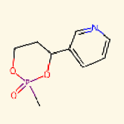 CP1(=O)OCCC(c2cccnc2)O1